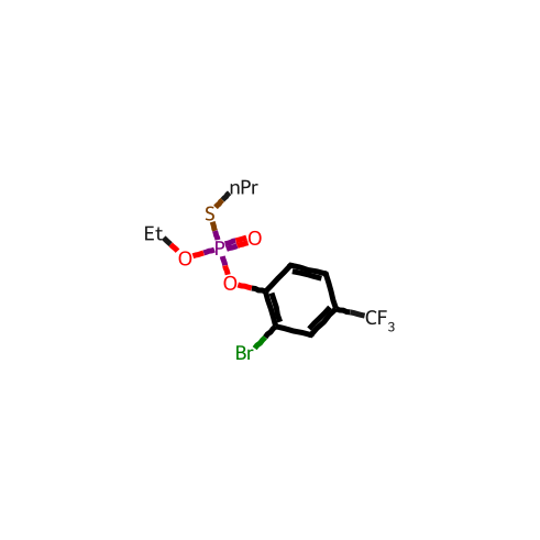 CCCSP(=O)(OCC)Oc1ccc(C(F)(F)F)cc1Br